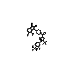 CC(C)(C)c1cc(C(=O)N2CCC(n3c(=O)[nH]c4ccc(F)c(F)c43)CC2)nn1-c1ccc(C(F)(F)F)c(F)c1